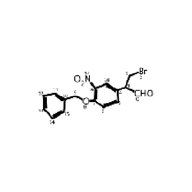 O=CC(CBr)c1ccc(OCc2ccccc2)c([N+](=O)[O-])c1